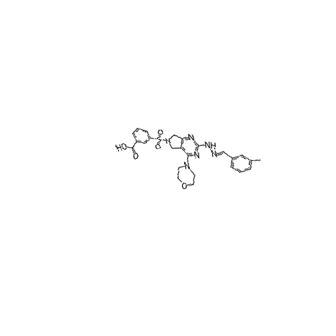 Cc1cccc(/C=N/Nc2nc3c(c(N4CCOCC4)n2)CN(S(=O)(=O)c2cccc(C(=O)O)c2)C3)c1